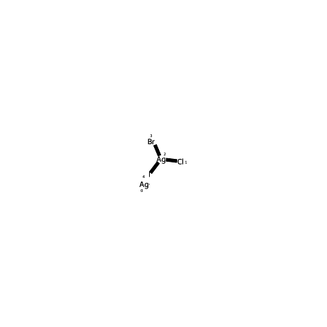 [Ag].[Cl][Ag]([Br])[I]